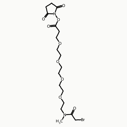 CN(CCOCCOCCOCCOCCC(=O)ON1C(=O)CCC1=O)C(=O)CBr